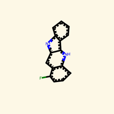 Fc1cccc2[nH]c3c4ccccc4nc-3cc12